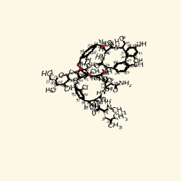 CN[C@H](CC(C)C)C(=O)N[C@H]1C(=O)N[C@@H](CC(N)=O)C(=O)NC2C(=O)N[C@H]3C(=O)N[C@H](C(=O)NC(C=O)c4cc(O)cc(O)c4-c4cc3ccc4O)[C@H](O)c3ccc(c(Cl)c3)Oc3cc2cc(c3O[C@@H]2O[C@H](CO)[C@@H](O)[C@H](O)[C@H]2OC2C[C@](C)(N)[C@H](O)[C@H](C)O2)Oc2ccc(cc2Cl)[C@H]1O